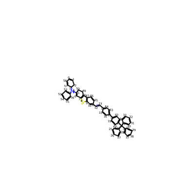 C1=CCC(N(C2=Cc3sc4cc(/C=C/c5ccc(-c6ccc(C(c7ccccc7)(c7ccccc7)c7ccccc7)cc6)cc5)ccc4c3CC2)c2ccccc2)C=C1